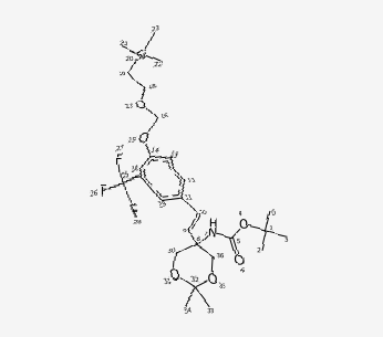 CC(C)(C)OC(=O)NC1(/C=C/c2ccc(OCOCC[Si](C)(C)C)c(C(F)(F)F)c2)COC(C)(C)OC1